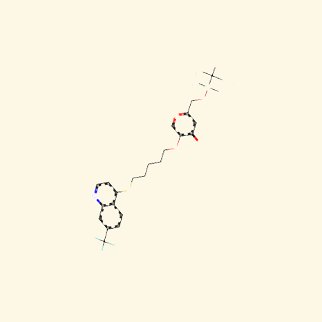 CC(C)(C)[Si](C)(C)OCc1cc(=O)c(OCCCCCSc2ccnc3cc(C(F)(F)F)ccc23)co1